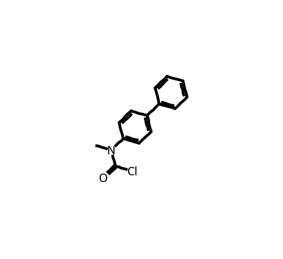 CN(C(=O)Cl)c1ccc(-c2ccccc2)cc1